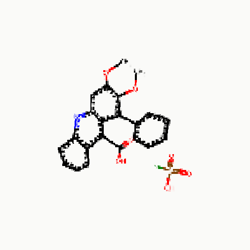 COc1cc2nc3ccccc3c(C(=O)O)c2c(-c2ccccc2)c1OC.O=S(=O)(O)F